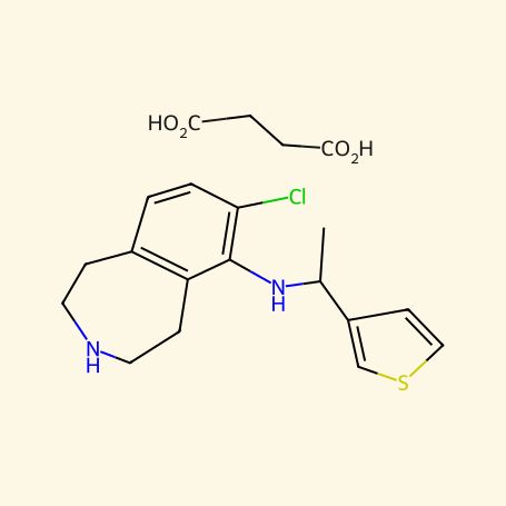 CC(Nc1c(Cl)ccc2c1CCNCC2)c1ccsc1.O=C(O)CCC(=O)O